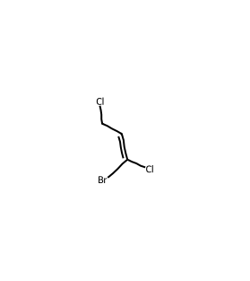 ClCC=C(Cl)Br